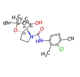 Cc1c(NC(=O)N2CC[C@H](O[Si](C)(C)C(C)(C)C)[C@H]2[C@@H](O)C(F)(F)F)ccc(C#N)c1Cl